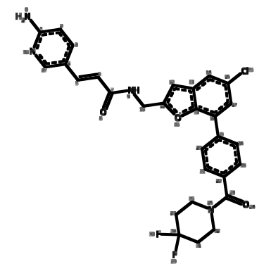 Nc1ccc(/C=C/C(=O)NCc2cc3cc(Cl)cc(-c4ccc(C(=O)N5CCC(F)(F)CC5)cc4)c3o2)cn1